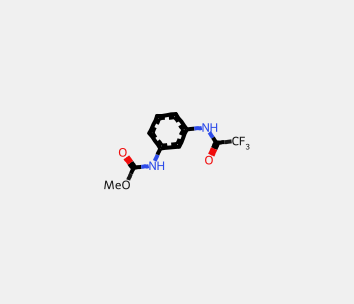 COC(=O)Nc1cccc(NC(=O)C(F)(F)F)c1